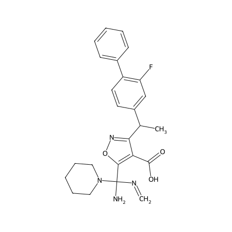 C=NC(N)(c1onc(C(C)c2ccc(-c3ccccc3)c(F)c2)c1C(=O)O)N1CCCCC1